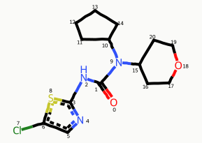 O=C(Nc1ncc(Cl)s1)N(C1CCCC1)C1CCOCC1